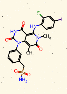 Cc1c(=O)n(C)c(Nc2ccc(I)cc2F)c2c(=O)[nH]c(=O)n(-c3cccc(CS(N)(=O)=O)c3)c12